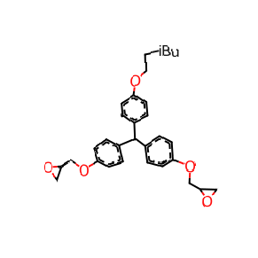 CCC(C)CCOc1ccc(C(c2ccc(OCC3CO3)cc2)c2ccc(OCC3CO3)cc2)cc1